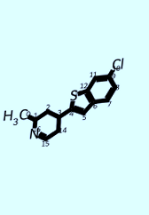 CC1CC(c2cc3ccc(Cl)cc3s2)CC=N1